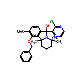 COc1ccc(C(O)(c2nccnc2Cl)N2C(C)(C)CCCC2(C)C)cc1OCc1ccccc1